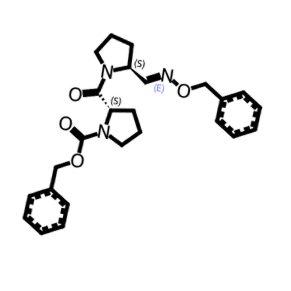 O=C([C@@H]1CCCN1C(=O)OCc1ccccc1)N1CCC[C@H]1/C=N/OCc1ccccc1